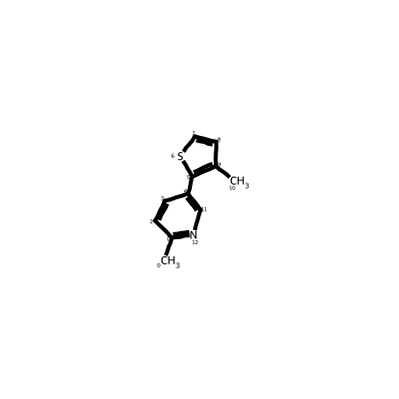 Cc1ccc(-c2sccc2C)cn1